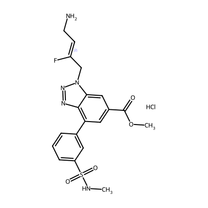 CNS(=O)(=O)c1cccc(-c2cc(C(=O)OC)cc3c2nnn3C/C(F)=C/CN)c1.Cl